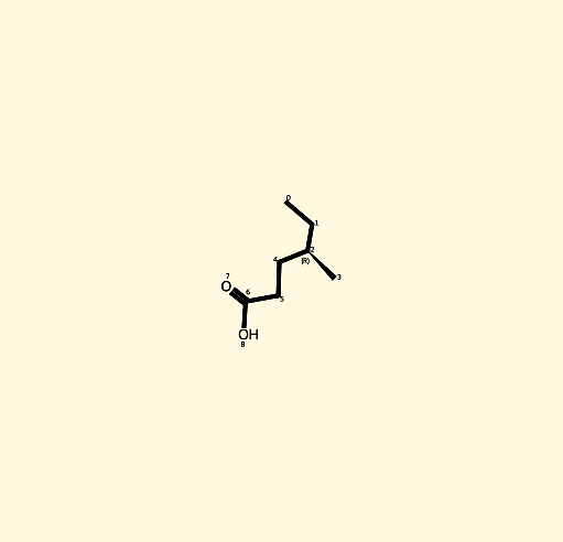 CC[C@@H](C)CCC(=O)O